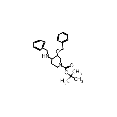 CC(C)(C)OC(=O)N1CCC(NCc2ccccc2)C(OCc2ccccc2)C1